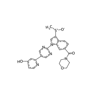 C[S+]([O-])c1cn(-c2ncc(-c3cc(O)ccn3)cn2)c2cc(C(=O)N3CCOCC3)ccc12